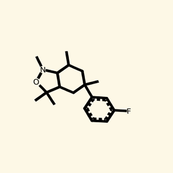 CC1CC(C)(c2cccc(F)c2)CC2C1N(C)OC2(C)C